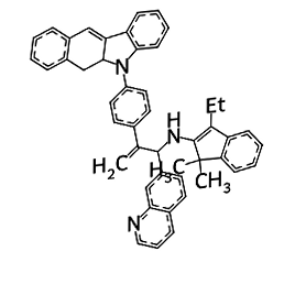 C=C(c1ccc(N2c3ccccc3C3=Cc4ccccc4CC32)cc1)C(NC1=C(CC)c2ccccc2C1(C)C)c1ccc2cccnc2c1